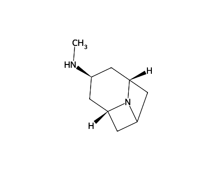 CN[C@@H]1C[C@H]2CC3C[C@@H](C1)N32